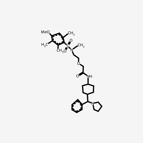 COc1cc(C)c(S(=O)(=O)N(C)CCOCC(=O)NC2CCC(C(c3ccccc3)N3CCCC3)CC2)c(C)c1C